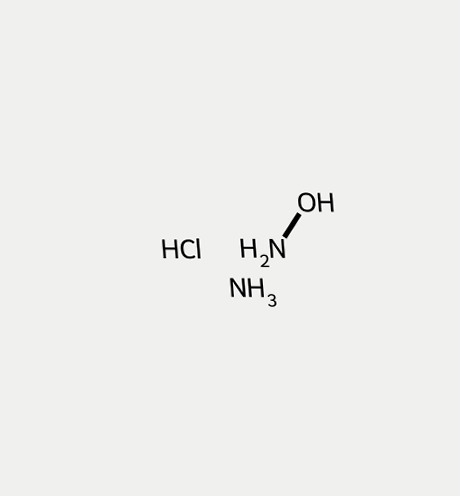 Cl.N.NO